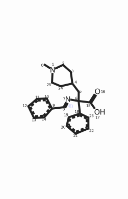 CN1CCC(CC(/N=C/c2ccccc2)(C(=O)O)c2ccccc2)CC1